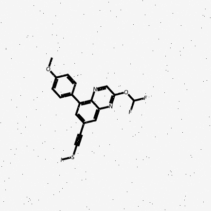 COc1ccc(-c2cc(C#CSI)cc3nc(OC(F)F)cnc23)cc1